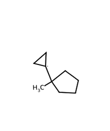 CC1([C]2CC2)CCCC1